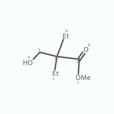 CCC(CC)(CO)C(=O)OC